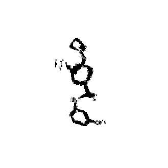 COc1cccc(NC(=O)c2ccc(N3CCC3)c(C(F)(F)F)c2)c1